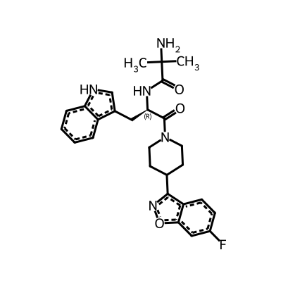 CC(C)(N)C(=O)N[C@H](Cc1c[nH]c2ccccc12)C(=O)N1CCC(c2noc3cc(F)ccc23)CC1